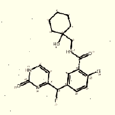 O=C(NCC1(O)CCCCC1)c1cc(C(F)c2cc[nH]c(=O)n2)ccc1Cl